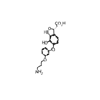 NCCCOc1cccc(Oc2ccc3c(c2O)BO[C@@H]3CC(=O)O)c1